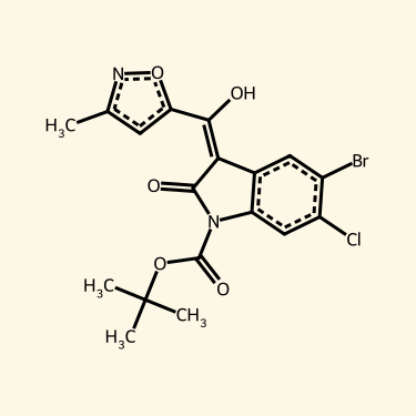 Cc1cc(/C(O)=C2\C(=O)N(C(=O)OC(C)(C)C)c3cc(Cl)c(Br)cc32)on1